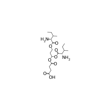 CCC(C)[C@H](N)C(=O)OCCC(OC(=O)CCC(=O)O)OC(=O)[C@@H](N)C(C)CC